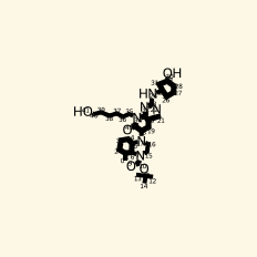 Cc1cccc2c1N(C(=O)OC(C)(C)C)CCN2c1cc2cnc(Nc3cccc(O)c3)nc2n(CCCCCCO)c1=O